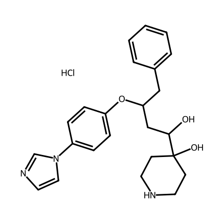 Cl.OC(CC(Cc1ccccc1)Oc1ccc(-n2ccnc2)cc1)C1(O)CCNCC1